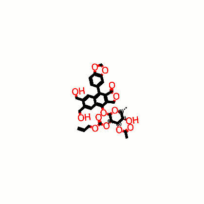 C=CCOC(=O)O[C@H]1C(Oc2c3c(c(-c4ccc5c(c4)OCO5)c4cc(CO)c(CO)cc24)C(=O)OC3)O[C@H](C)[C@@H](O)[C@@H]1OC(C)=O